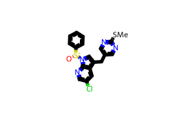 CSc1ncc(Cc2cn([S+]([O-])c3ccccc3)c3ncc(Cl)cc23)cn1